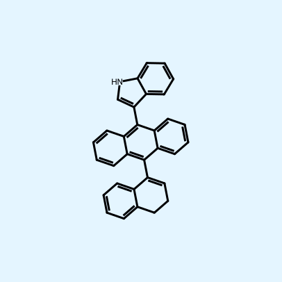 C1=C(c2c3ccccc3c(-c3c[nH]c4ccccc34)c3ccccc23)c2ccccc2CC1